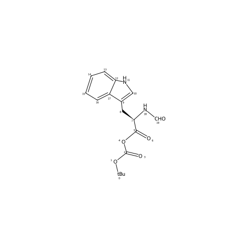 CC(C)(C)OC(=O)OC(=O)[C@@H](Cc1c[nH]c2ccccc12)NC=O